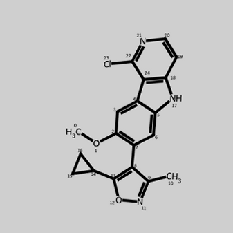 COc1cc2c(cc1-c1c(C)noc1C1CC1)[nH]c1ccnc(Cl)c12